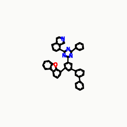 c1ccc(-c2cccc(-c3cc(-c4nc(-c5ccccc5)nc(-c5cccc6ccncc56)n4)cc(-c4cccc5c4oc4ccccc45)c3)c2)cc1